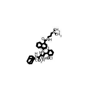 COc1cccc(OC)c1-c1cc(C(=O)NC2(C(=O)O)C3CC4CC(C3)CC2C4)nn1-c1ccc(C(=O)NCCCN(C)C)c2ccccc12.Cl